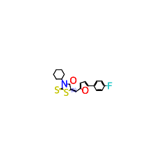 O=C1/C(=C\c2ccc(-c3ccc(F)cc3)o2)SC(=S)N1C1CCCCC1